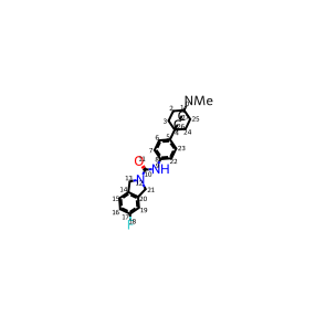 CNC12CCC(c3ccc(NC(=O)N4Cc5ccc(F)cc5C4)cc3)(CC1)CC2